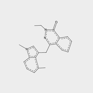 CCn1nc(Cc2cn(C)c3cccc(C)c23)c2ccccc2c1=O